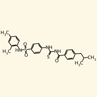 Cc1ccc(NS(=O)(=O)c2ccc(NC(=S)NC(=O)c3ccc(CC(C)C)cc3)cc2)c(C)c1